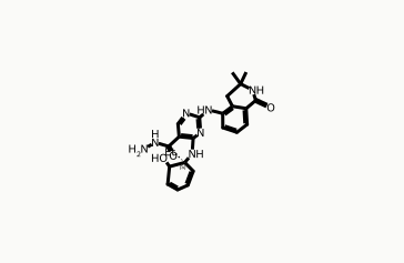 CC[C@]1(Nc2nc(Nc3cccc4c3CC(C)(C)NC4=O)ncc2C(=O)NN)C=CC=CC1O